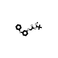 COC(OC(=O)COc1cccc(Sc2ccccc2)c1)C(C)(C)C